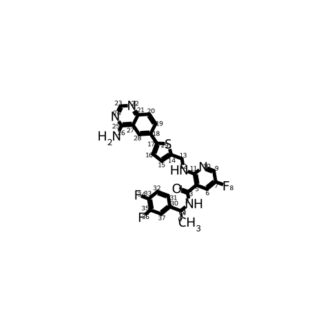 C[C@H](NC(=O)c1cc(F)cnc1NCc1ccc(-c2ccc3ncnc(N)c3c2)s1)c1ccc(F)c(F)c1